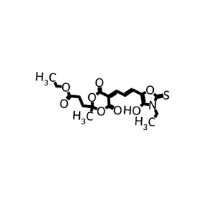 CCOC(=O)CCC1(C)OC(=O)C(=C/C=C/c2oc(=S)n(CC)c2O)C(=O)O1